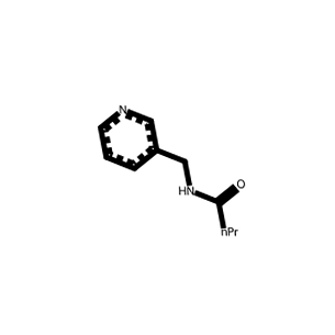 CCCC(=O)NCc1cccnc1